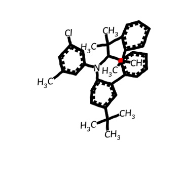 Cc1cc(Cl)cc(N(c2ccc(C(C)(C)C)cc2-c2ccccc2)C2C(C)(C)c3ccccc3C2(C)C)c1